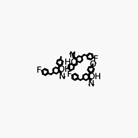 CN(C)CC1CC(Cc2ccc(F)cc2)CCC1(O)CC1CCCCC1.COc1ccc(C2(O)CCC(Cc3ccc(F)cc3)CC2CN(C)C)cc1.Cc1ccc(C2(O)CCC(Cc3ccc(F)cc3)CC2CN(C)C)cc1